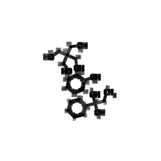 CCC(O)(O)c1ccccc1.OCC(CO)(CO)CO.Oc1ccccc1